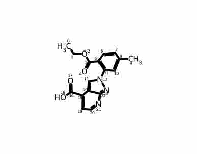 CCOC(=O)c1ccc(C)cc1-n1cc2c(C(=O)O)ccnc2n1